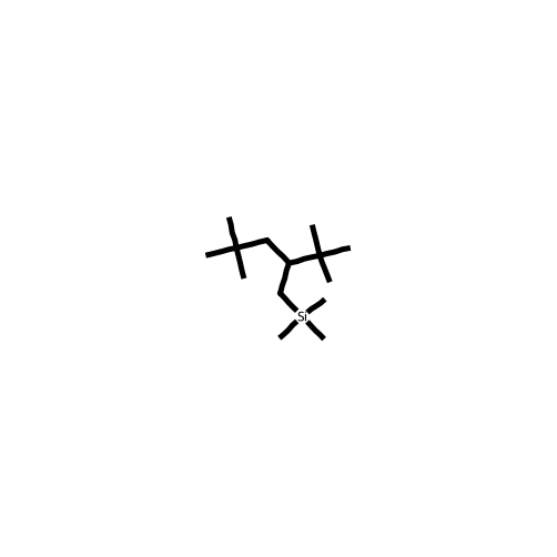 CC(C)(C)CC(C[Si](C)(C)C)C(C)(C)C